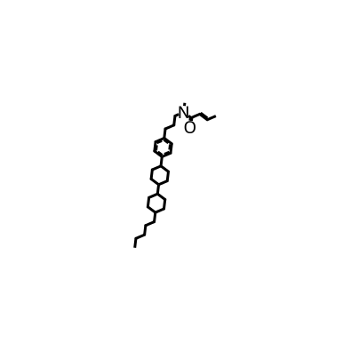 C/C=C/C(=O)N(C)CCCc1ccc(C2CCC(C3CCC(CCCCC)CC3)CC2)cc1